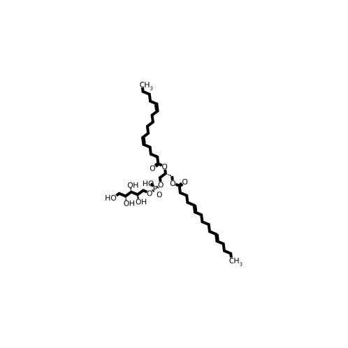 CCCCC=CCCCCC=CCCCC(=O)OC[C@H](COP(=O)(O)OC[C@@H](O)[C@@H](O)[C@H](O)CO)OC(=O)CCC/C=C\CCCC/C=C\CCCC